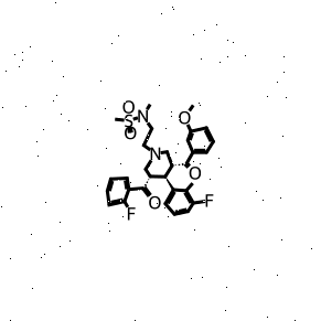 COc1cccc(C(=O)[C@H]2CN(CCN(C)S(C)(=O)=O)C[C@@H](C(=O)c3ccccc3F)[C@@H]2c2cccc(F)c2C)c1